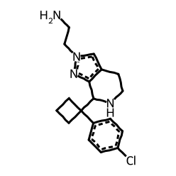 NCCn1cc2c(n1)C(C1(c3ccc(Cl)cc3)CCC1)NCC2